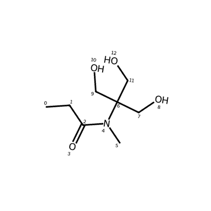 CCC(=O)N(C)C(CO)(CO)CO